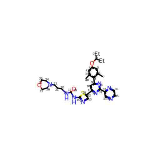 CCC(CC)Oc1cc(C)c(-c2cc(-c3cnc(NC(=O)NCCCN4CCOCC4)s3)nc(-c3cnccn3)n2)c(C)c1